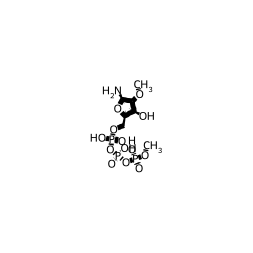 COC1[C@H](N)O[C@H](COP(=O)(O)OP(=O)(O)OP(=O)(O)OC)[C@@H]1O